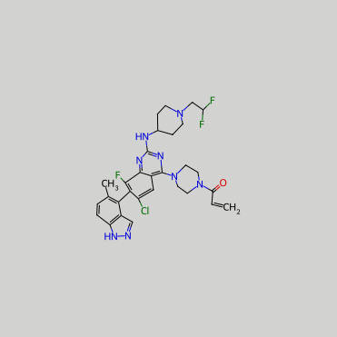 C=CC(=O)N1CCN(c2nc(NC3CCN(CC(F)F)CC3)nc3c(F)c(-c4c(C)ccc5[nH]ncc45)c(Cl)cc23)CC1